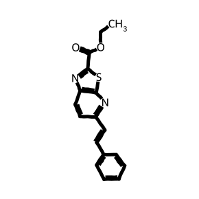 CCOC(=O)c1nc2ccc(C=Cc3ccccc3)nc2s1